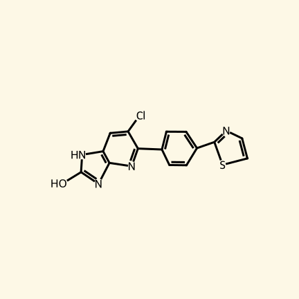 Oc1nc2nc(-c3ccc(-c4nccs4)cc3)c(Cl)cc2[nH]1